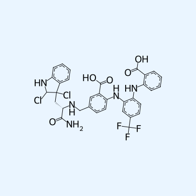 NC(=O)[C@H](CC1(Cl)c2ccccc2NC1Cl)NCc1ccc(Nc2cc(C(F)(F)F)ccc2Nc2ccccc2C(=O)O)c(C(=O)O)c1